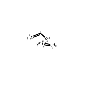 C=C.C=CO.[LiH]